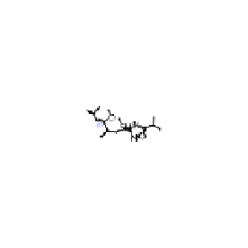 CO/C(=C\C(C)C)C(C)C[SH](C)c1noc(C(C)C)n1